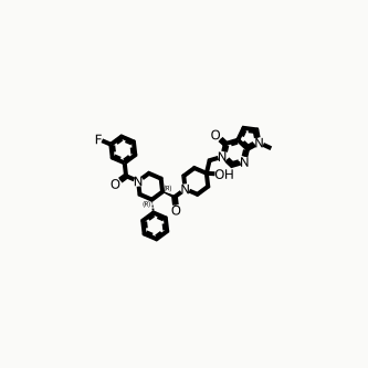 Cn1ccc2c(=O)n(CC3(O)CCN(C(=O)[C@@H]4CCN(C(=O)c5cccc(F)c5)C[C@H]4c4ccccc4)CC3)cnc21